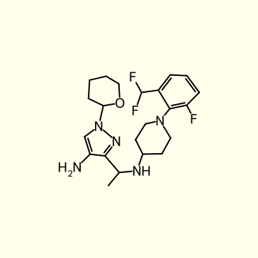 CC(NC1CCN(c2c(F)cccc2C(F)F)CC1)c1nn(C2CCCCO2)cc1N